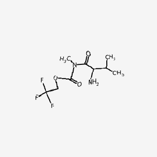 CC(C)C(N)C(=O)N(C)C(=O)OCC(F)(F)F